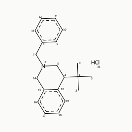 CC(C)(C)C1CN(Cc2ccccc2)Cc2ccccc21.Cl